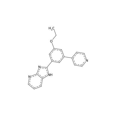 CCOc1cc(-c2ccncc2)cc(-c2nc3ncccc3[nH]2)c1